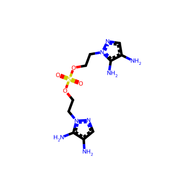 Nc1cnn(CCOS(=O)(=O)OCCn2ncc(N)c2N)c1N